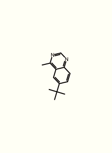 Cc1ncnc2ccc(C(C)(C)C)cc12